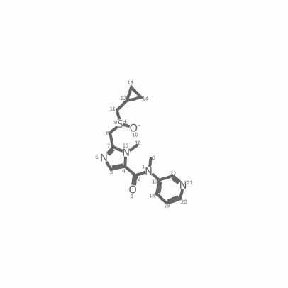 CN(C(=O)c1cnc(C[S+]([O-])CC2CC2)n1C)c1cccnc1